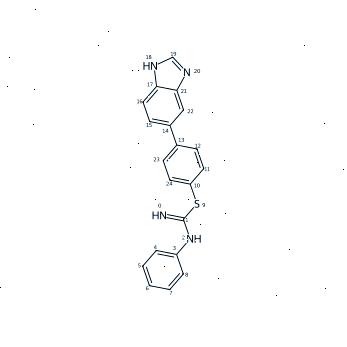 N=C(Nc1ccccc1)Sc1ccc(-c2ccc3[nH]cnc3c2)cc1